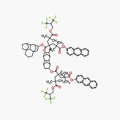 CC(C)(CC(C)(CC(C)(C)C(=O)Oc1ccc2cc3ccccc3cc2c1)C(=O)OC1CC2CC1C1C3CC(CC3CC(CC(C)(C)C(=O)OCC(C(F)(F)F)C(F)(F)F)(CC(C)(C)C(=O)Oc3ccc4cc5ccccc5cc4c3)C(=O)OC3CC45CCCC67CCC(C6)C(C3C4)C75)C21)C(=O)OCC(C(F)(F)F)C(F)(F)F